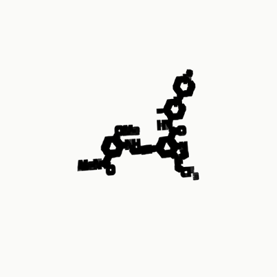 CNC(=O)c1ccc(OC)c(NCC#Cc2cc(C(=O)N[C@@H]3CCN(C4CCN(C)CC4)C[C@@H]3C)c3ncn(CC(F)(F)F)c3c2)c1